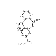 CC(C(=O)O)c1ccc2c(c1)CC(=O)c1ccccc1S2.CCO